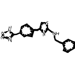 c1ccc(CNc2nc(-c3ccc(-c4nnn[nH]4)cc3)cs2)cc1